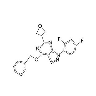 Fc1ccc(-n2ncc3c(OCc4ccccc4)nc(C4COC4)nc32)c(F)c1